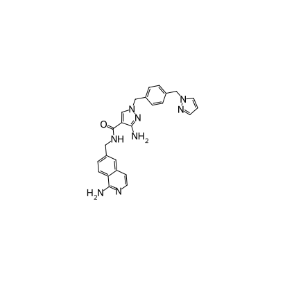 Nc1nn(Cc2ccc(Cn3cccn3)cc2)cc1C(=O)NCc1ccc2c(N)nccc2c1